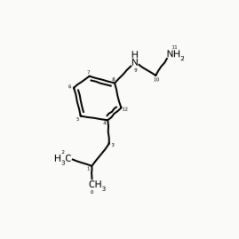 CC(C)Cc1cccc(NCN)c1